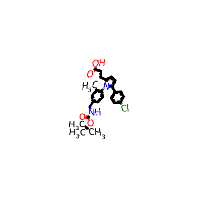 Cc1cc(CNC(=O)OC(C)(C)C)ccc1-n1c(CCC(=O)O)ccc1-c1ccc(Cl)cc1